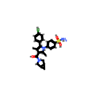 Cc1c(C(=O)N2CC3CC3C2)c(C)n(-c2ccc(S(N)(=O)=O)cc2)c1-c1ccc(Cl)cc1